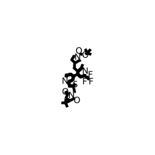 Cc1nc(C(F)(F)F)cc(-c2ccnc3cc(CN4C(=O)C5C(C4=O)C5(C)C)sc23)c1CC1CCN(C(=O)OC(C)(C)C)C1